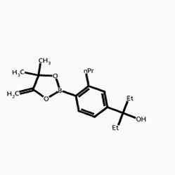 C=C1OB(c2ccc(C(O)(CC)CC)cc2CCC)OC1(C)C